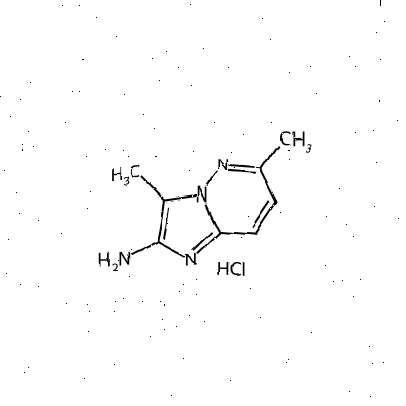 Cc1ccc2nc(N)c(C)n2n1.Cl